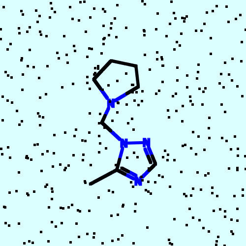 Cc1ncnn1CN1CCCC1